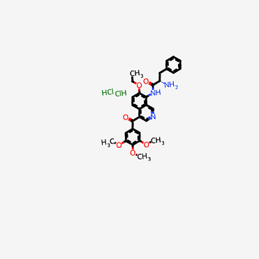 CCOc1ccc2c(C(=O)c3cc(OC)c(OC)c(OC)c3)cncc2c1NC(=O)[C@@H](N)Cc1ccccc1.Cl.Cl